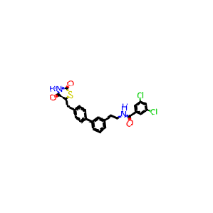 O=C1NC(=O)C(Cc2ccc(-c3cccc(CCNC(=O)c4cc(Cl)cc(Cl)c4)c3)cc2)S1